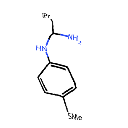 CSc1ccc(NC(N)C(C)C)cc1